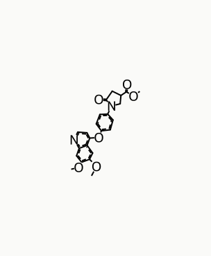 COC(=O)C1CC(=O)N(c2ccc(Oc3ccnc4cc(OC)c(OC)cc34)cc2)C1